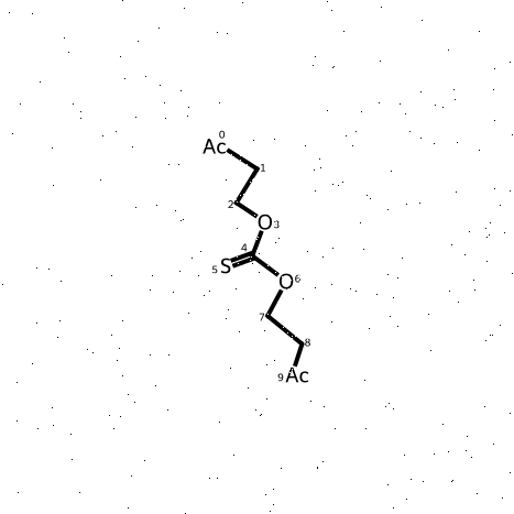 CC(=O)CCOC(=S)OCCC(C)=O